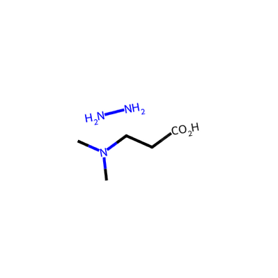 CN(C)CCC(=O)O.NN